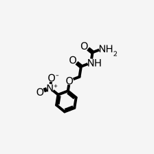 NC(=O)NC(=O)COc1ccccc1[N+](=O)[O-]